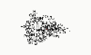 CC[C@H](C)[C@H](NC(=O)[C@H](CCC(=O)O)NC(=O)[C@@H]1CCCN1C(=O)[C@H](CCC(N)=O)NC(=O)[C@H](CC(C)C)NC(=O)[C@H](Cc1ccccc1)NC(=O)[C@@H]1CCCN1C(=O)[C@@H]1CCCN1C(=O)[C@@H](NC(=O)[C@@H](NC(=O)[C@@H](NC(=O)[C@@H]1CCCN1C(=O)[C@@H](NC(=O)[C@H](CCC(N)=O)NC(=O)[C@@H](N)[C@@H](C)O)[C@@H](C)O)C(C)C)C(C)C)C(C)C)C(=O)N[C@@H](CCSC)C(=O)O